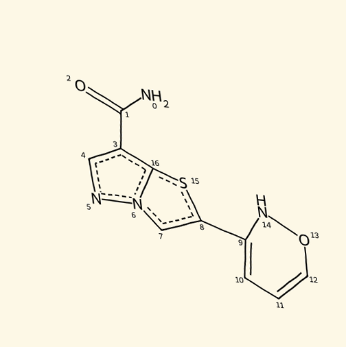 NC(=O)c1cnn2cc(C3=CC=CON3)sc12